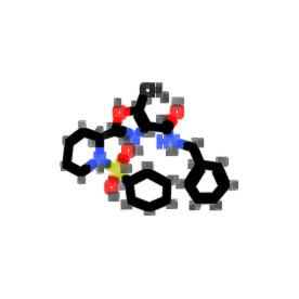 Cc1oc([C@@H]2CCCCN2S(=O)(=O)C2CCCCC2)nc1C(=O)NCc1ccccc1